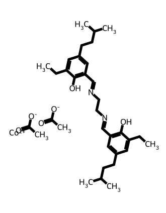 CC(=O)[O-].CC(=O)[O-].CCc1cc(CCC(C)C)cc(C=NCCN=Cc2cc(CCC(C)C)cc(CC)c2O)c1O.[Co+2]